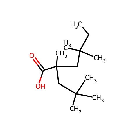 CCC(C)(C)CC(C)(CC(C)(C)C)C(=O)O